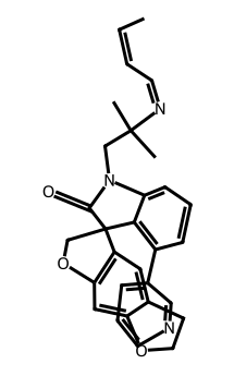 C/C=C\C=N/C(C)(C)CN1C(=O)C2(COc3cc4c(cc32)CCO4)c2c(-c3cccnc3)cccc21